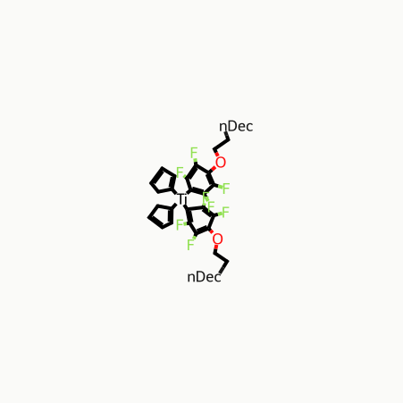 CCCCCCCCCCCCOc1c(F)c(F)[c]([Ti]([C]2=CC=CC2)([C]2=CC=CC2)[c]2c(F)c(F)c(OCCCCCCCCCCCC)c(F)c2F)c(F)c1F